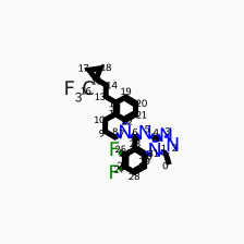 Cc1nnc2nc(N3CCCc4c(CCC5(C(F)(F)F)CC5)cccc43)c3c(F)c(F)ccc3n12